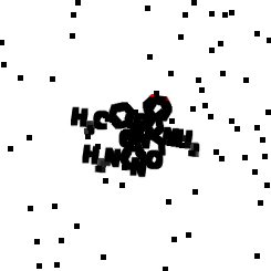 Cc1cccc(S(=O)(=O)N2c3cc(N)cnc3OCC(N)C2(Cc2ccccc2)Cc2ccccc2)c1